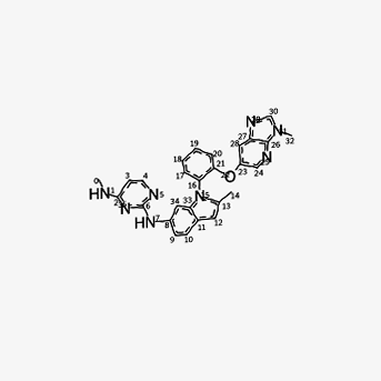 CNc1ccnc(Nc2ccc3cc(C)n(-c4ccccc4Oc4cnc5c(c4)ncn5C)c3c2)n1